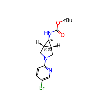 CC(C)(C)OC(=O)N[C@H]1[C@@H]2CN(c3ccc(Br)cn3)C[C@@H]21